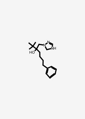 CC(C)(C)C(O)(CCCCc1ccccc1)CN1CNC=N1